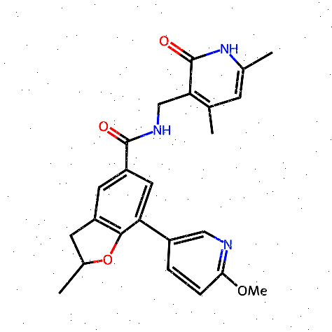 COc1ccc(-c2cc(C(=O)NCc3c(C)cc(C)[nH]c3=O)cc3c2OC(C)C3)cn1